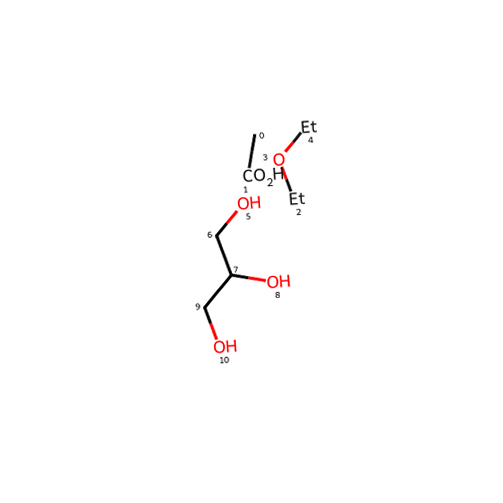 CC(=O)O.CCOCC.OCC(O)CO